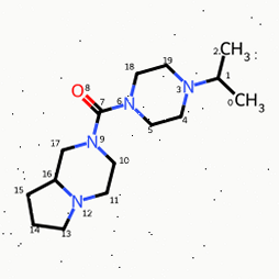 CC(C)N1CCN(C(=O)N2CCN3CCCC3C2)CC1